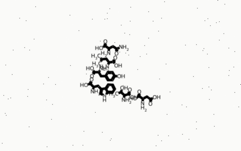 CC(C)CC(N)C(=O)O.CC(O)C(N)C(=O)O.NC(=O)CC(N)C(=O)O.NC(CC(=O)O)C(=O)O.NC(Cc1c[nH]c2ccccc12)C(=O)O.NC(Cc1ccc(O)cc1)C(=O)O